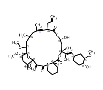 C=CC[C@@H]1/C=C(\C)C[C@H](C)C[C@H](OC)[C@H]2O[C@@](O)(C(=O)C(=O)N3CCCC[C@H]3C(=O)O[C@@](C)(/C(C)=C/[C@@H]3CC[C@@H](O)[C@H](OC)C3)C[C@@H](O)CC1=O)[C@H](C)C[C@@H]2OC